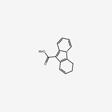 COC(=O)c1c2c(n3ccccc13)CCC=C2